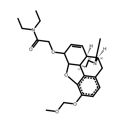 CCN(CC)C(=O)COC1C=C[C@H]2[C@H]3Cc4ccc(OCOC)c5c4[C@@]2(CCN3C)C1O5